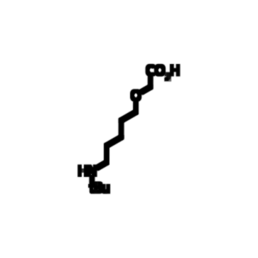 CC(C)(C)NCCCCCOCC(=O)O